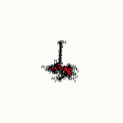 CC[C@](C=O)(CN[C@@H](CC(C)C)C(=O)N[C@@H](CCCNC(N)=O)C(=O)NC(C)(C)C(=O)N[C@@H](CC(C)C)C(=O)NCCOCCOCCOCCOCCOCCC(=O)O)NC(=O)[C@H](C)NC[C@@](C=O)(CC(C)C)NC(=O)[C@H](CC(=O)OC(C)(C)C)NC(=O)CNC(=O)c1cccc(N/C(=N/C(=O)OC(C)(C)C)NC(=O)OC(C)(C)C)c1